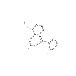 COc1cccc2c(-c3ncnn3C)cc(C)nc12